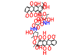 COc1cccc2c1C(=O)c1c(O)c3c(c(O)c1C2=O)C[C@@](O)(C(C)=O)C[C@@H]3OC1CC(NOC(C(=O)O)C(ONC2CC(O[C@H]3C[C@](O)(C(C)=O)Cc4c(O)c5c(c(O)c43)C(=O)c3c(OC)cccc3C5=O)OC(C)C2O)C(=O)O)C(O)C(C)O1